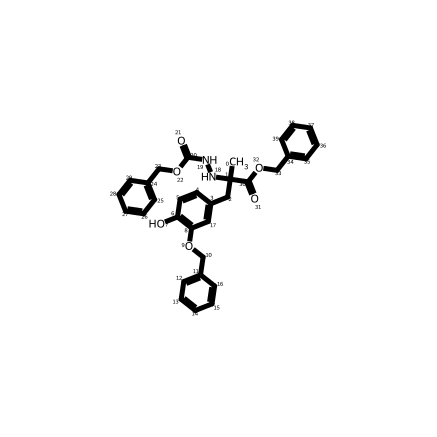 CC(Cc1ccc(O)c(OCc2ccccc2)c1)(NNC(=O)OCc1ccccc1)C(=O)OCc1ccccc1